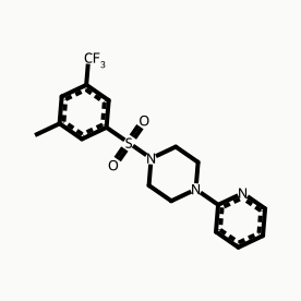 Cc1cc(C(F)(F)F)cc(S(=O)(=O)N2CCN(c3ccccn3)CC2)c1